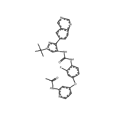 CC(=O)Nc1cc(Oc2ccc(NC(=O)Nc3cn(C(C)(C)C)nc3-c3ccc4ncncc4c3)c(F)c2)ccn1